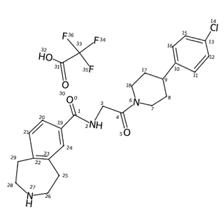 O=C(NCC(=O)N1CCC(c2ccc(Cl)cc2)CC1)c1ccc2c(c1)CCNCC2.O=C(O)C(F)(F)F